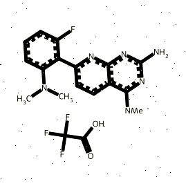 CNc1nc(N)nc2nc(-c3c(F)cccc3N(C)C)ccc12.O=C(O)C(F)(F)F